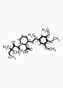 CCC(C)(C)C(=O)C(=O)N1CCCC(C[C@H](C)c2cc(OC)c(OC)c(OC)c2)C1C(=O)O